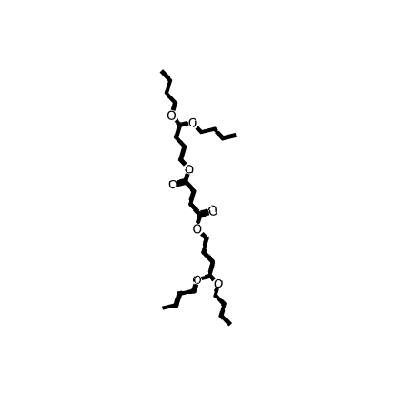 CCCCOC(CCCOC(=O)CCC(=O)OCCCC(OCCCC)OCCCC)OCCCC